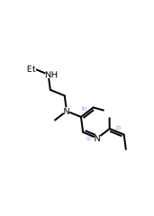 C\C=C(C)/N=C\C(=C/C)N(C)CCNCC